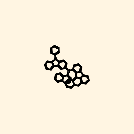 C1=CC2=C3c4c(cccc4-c4cccc(N(c5ccc6c(c5)c5ccccc5n6-c5ccccc5)c5cccc6ccccc56)c43)CC2C=C1